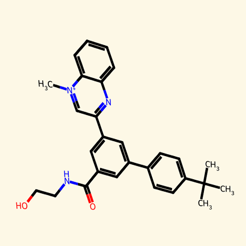 C[n+]1cc(-c2cc(C(=O)NCCO)cc(-c3ccc(C(C)(C)C)cc3)c2)nc2ccccc21